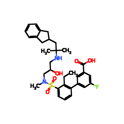 CCc1c(-c2cc(F)cc(C(=O)O)c2)cccc1S(=O)(=O)N(C)C[C@H](O)CNC(C)(C)CC1Cc2ccccc2C1